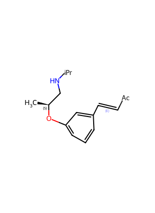 CC(=O)/C=C/c1cccc(O[C@@H](C)CNC(C)C)c1